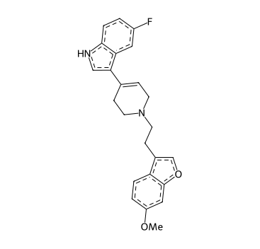 COc1ccc2c(CCN3CC=C(c4c[nH]c5ccc(F)cc45)CC3)coc2c1